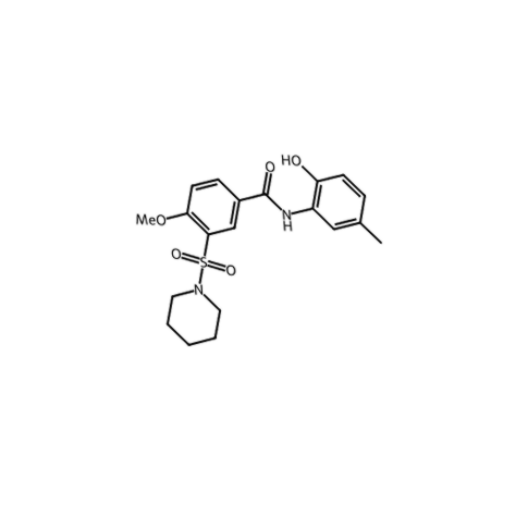 COc1ccc(C(=O)Nc2cc(C)ccc2O)cc1S(=O)(=O)N1CCCCC1